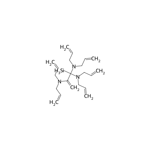 C=CCN(CC=C)C(=C)C([SiH3])(N(CC=C)CC=C)N(CC=C)CC=C